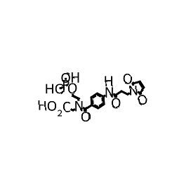 O=C(O)CN(CCOP(O)O)C(=O)c1ccc(NC(=O)CCN2C(=O)C=CC2=O)cc1